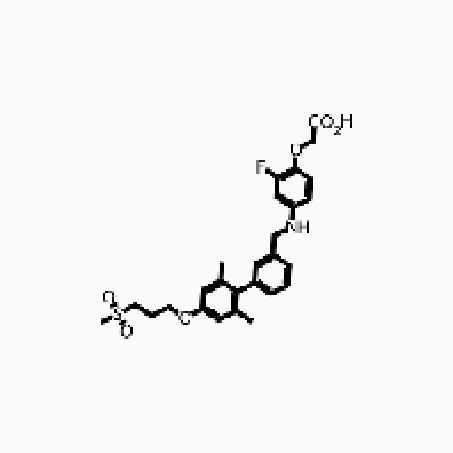 Cc1cc(OCCCS(C)(=O)=O)cc(C)c1-c1cccc(CNc2ccc(OCC(=O)O)c(F)c2)c1